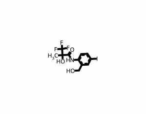 CC(O)(C(=O)Nc1ccc(I)cc1CO)C(F)(F)F